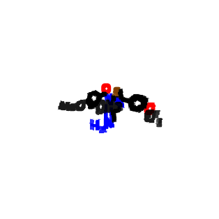 COc1ccc(C(=O)NC2SC=C(c3ccc(OC(F)(F)F)cc3)N2CCCN)c(OC)c1